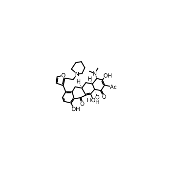 CC(=O)C1=C(O)[C@@H](N(C)C)[C@@H]2C[C@@H]3Cc4c(-c5ccoc5CN5CCCCC5)ccc(O)c4C(=O)C3=C(O)[C@]2(O)C1=O